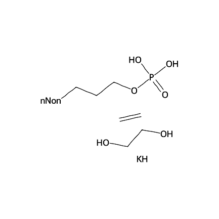 C=C.CCCCCCCCCCCCOP(=O)(O)O.OCCO.[KH]